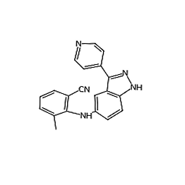 Cc1cccc(C#N)c1Nc1ccc2[nH]nc(-c3ccncc3)c2c1